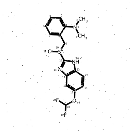 CN(C)c1ccccc1C[S+]([O-])c1nc2cc(OC(F)F)ccc2[nH]1